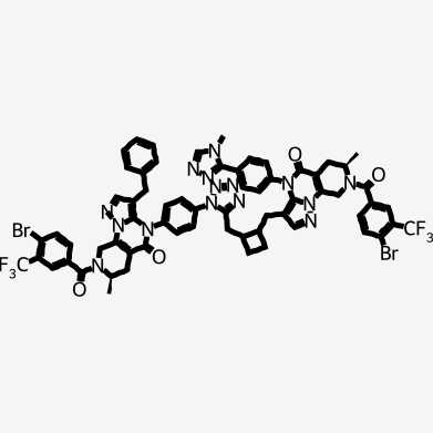 C[C@@H]1Cc2c(n3ncc(Cc4ccccc4)c3n(-c3ccc(-n4nnnc4CC4CCC4Cc4cnn5c6c(c(=O)n(-c7ccc(-c8nncn8C)cc7)c45)C[C@@H](C)N(C(=O)c4ccc(Br)c(C(F)(F)F)c4)C6)cc3)c2=O)CN1C(=O)c1ccc(Br)c(C(F)(F)F)c1